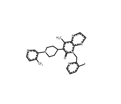 Cc1c(C2CCN(c3cnccc3C(F)(F)F)CC2)c(=O)n(Cc2ncccc2F)c2nccnc12